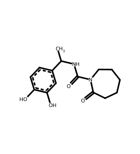 CC(NC(=O)N1CCCCCC1=O)c1ccc(O)c(O)c1